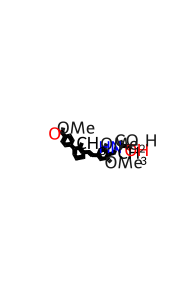 COC(=O)c1ccc(-c2cccc(/C=C/c3cc(OC)c(CNC(C)(CO)C(=O)O)c(OC)c3)c2C)cc1